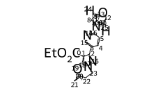 CCOC(=O)c1c(-c2ccc(N3C[C@@H]4C[C@H]3CO4)nc2)nn2c1O[C@H](C)CC2